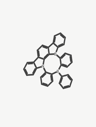 c1ccc(B2c3ccccc3B3c4ccccc4-c4ccc5c6ccccc6n(c5c43)-c3ccccc32)cc1